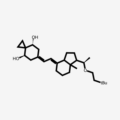 C[C@@H](OCCC(C)(C)C)C1CCC2/C(=C/C=C3C[C@@H](O)C4(CC4)[C@H](O)C3)CCCC21C